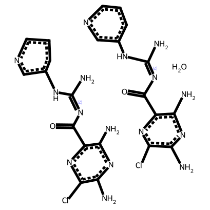 N/C(=N/C(=O)c1nc(Cl)c(N)nc1N)Nc1cccnc1.N/C(=N/C(=O)c1nc(Cl)c(N)nc1N)Nc1cccnc1.O